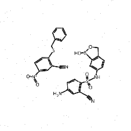 N#Cc1cc(N)ccc1S(=O)(=O)Nc1ccc2c(c1)B(O)OC2.N#Cc1cc([N+](=O)[O-])ccc1SCc1ccccc1